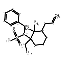 C=CCC1CCCC(CC)(N(Cc2ccccc2)S(=O)(=O)O)C1(C)C